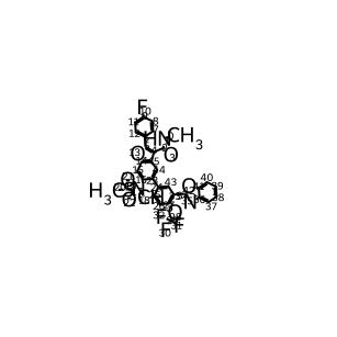 CNC(=O)c1c(-c2ccc(F)cc2)oc2cc(N(C)S(C)(=O)=O)c(-c3ccc(OC(F)(F)F)c(-c4nc5ccccc5o4)c3)cc12